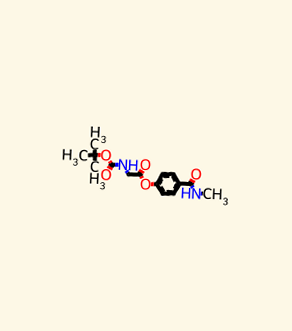 CNC(=O)c1ccc(OC(=O)CNC(=O)OC(C)(C)C)cc1